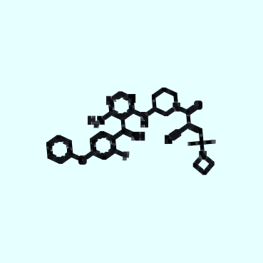 CC(C)(/C=C(\C#N)C(=O)N1CCCC(Nc2ncnc(N)c2C(=N)c2ccc(Oc3ccccc3)cc2F)C1)N1CCC1